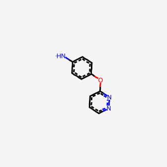 [NH]c1ccc(Oc2cccnn2)cc1